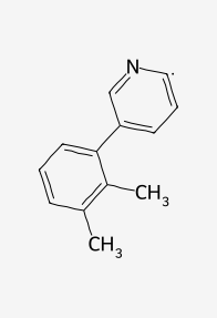 Cc1cccc(-c2cc[c]nc2)c1C